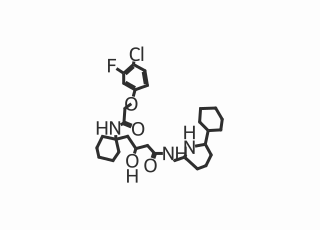 O=C(CC(O)CC1(NC(=O)COc2ccc(Cl)c(F)c2)CCCCC1)NCC1CCCC(C2CCCCC2)N1